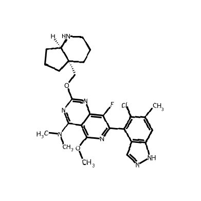 COc1nc(-c2c(Cl)c(C)cc3[nH]ncc23)c(F)c2nc(OC[C@@]34CCCN[C@@H]3CCC4)nc(N(C)C)c12